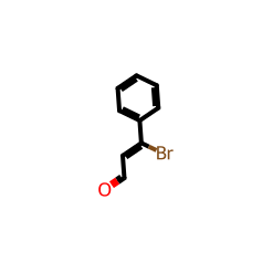 O=CC=C(Br)c1ccccc1